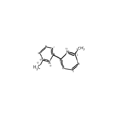 Cc1cccc(-c2cccc(C)n2)n1